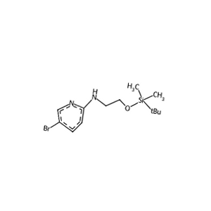 CC(C)(C)[Si](C)(C)OCCNc1ccc(Br)cn1